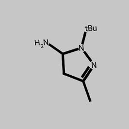 CC1=NN(C(C)(C)C)C(N)C1